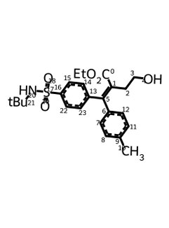 CCOC(=O)C(CCO)=C(c1ccc(C)cc1)c1ccc(S(=O)(=O)NC(C)(C)C)cc1